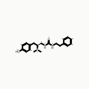 CN(C)[C@H](CNC(=O)NCCc1ccccc1)Cc1ccc(O)cc1